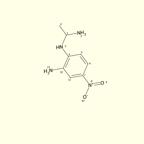 CC(N)Nc1ccc([N+](=O)[O-])cc1N